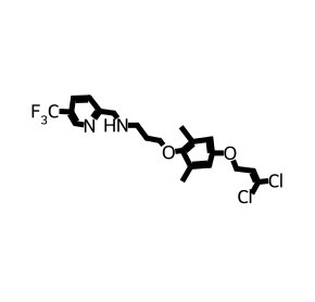 Cc1cc(OCC=C(Cl)Cl)cc(C)c1OCCCNCc1ccc(C(F)(F)F)cn1